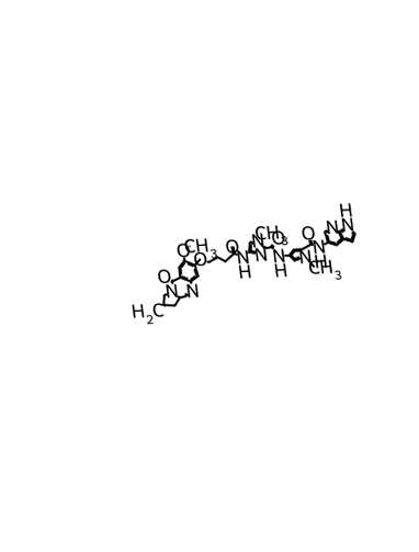 C=C1CC2C=Nc3cc(OCCCC(=O)Nc4cn(C)c(C(=O)Nc5cc(C(=O)Nc6cnc7[nH]ccc7c6)n(C)c5)n4)c(OC)cc3C(=O)N2C1